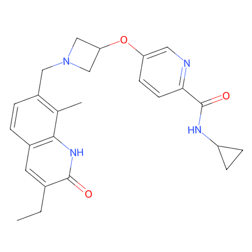 CCc1cc2ccc(CN3CC(Oc4ccc(C(=O)NC5CC5)nc4)C3)c(C)c2[nH]c1=O